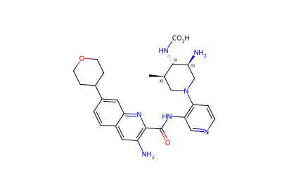 C[C@@H]1CN(c2ccncc2NC(=O)c2nc3cc(C4CCOCC4)ccc3cc2N)C[C@H](N)[C@H]1NC(=O)O